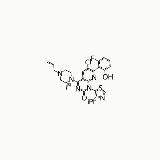 C=CCN1CCN(c2nc(=O)n(-c3scnc3C(C)C)c3nc(-c4c(O)cccc4F)c(Cl)cc23)[C@@H](C)C1